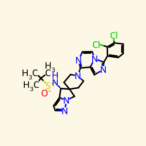 CC(C)(C)[S+]([O-])N[C@@H]1c2ccnn2CC12CCN(c1nccn3c(-c4cccc(Cl)c4Cl)ncc13)CC2